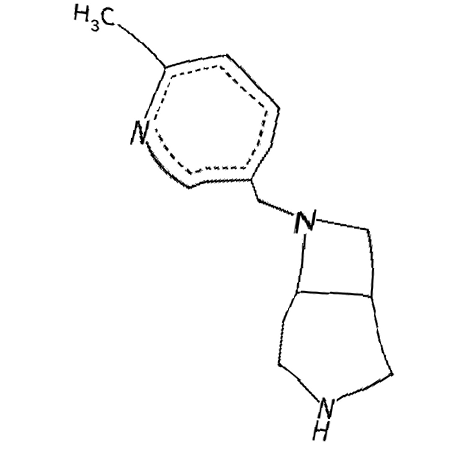 Cc1ccc(N2CC3CNCC32)cn1